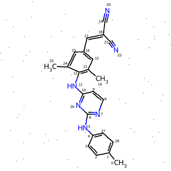 Cc1ccc(Nc2nccc(Nc3c(C)cc(C=C(C#N)C#N)cc3C)n2)cc1